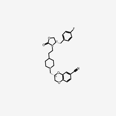 N#Cc1ccc2c(c1)O[C@@H](CN1CCC(CCN3C(=O)OC[C@@H]3Cc3ccc(F)cc3)CC1)CO2